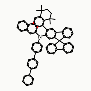 CC1(C)CCC(C)(C)c2c(-c3cc4c(cc3N(c3ccc(-c5ccc(-c6ccccc6)cc5)cc3)c3ccc5ccccc5c3)C3(c5ccccc5-c5ccccc53)c3ccccc3-4)cccc21